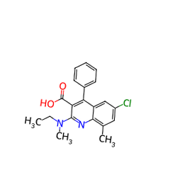 CCN(C)c1nc2c(C)cc(Cl)cc2c(-c2ccccc2)c1C(=O)O